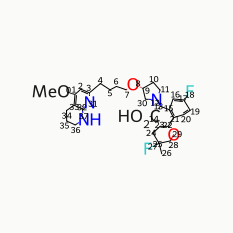 COc1cc(CCCCO[C@@H]2CCN([C@H](C(=O)O)c3cc(F)ccc3C3CCC(C)(F)CO3)C2)nc2c1CCCN2